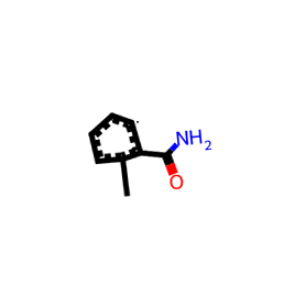 Cc1ccc[c]c1C(N)=O